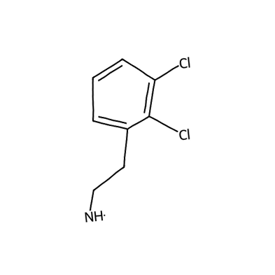 [NH]CCc1cccc(Cl)c1Cl